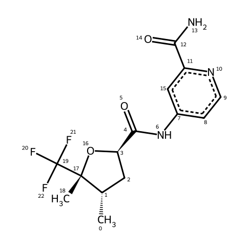 C[C@H]1C[C@H](C(=O)Nc2ccnc(C(N)=O)c2)O[C@@]1(C)C(F)(F)F